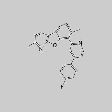 Cc1ccc2c(n1)oc1c(-c3cc(-c4ccc(F)cc4)ccn3)c(C)ccc12